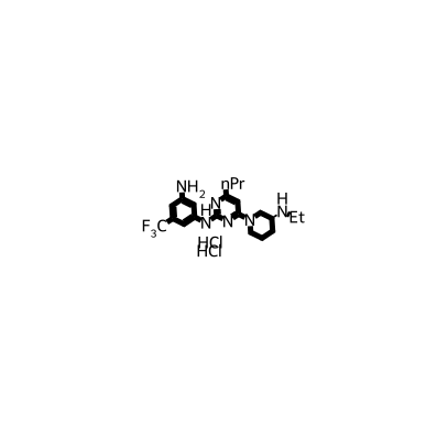 CCCc1cc(N2CCC[C@@H](NCC)C2)nc(Nc2cc(N)cc(C(F)(F)F)c2)n1.Cl.Cl